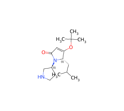 CC(C)C[C@H]1C(OC(C)(C)C)=CC(=O)N1[C@H]1CCNC1